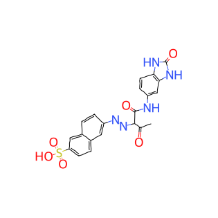 CC(=O)C(N=Nc1ccc2cc(S(=O)(=O)O)ccc2c1)C(=O)Nc1ccc2[nH]c(=O)[nH]c2c1